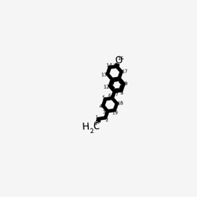 C=CCC1CCC(c2ccc3c(c2)CCC(=O)C3)CC1